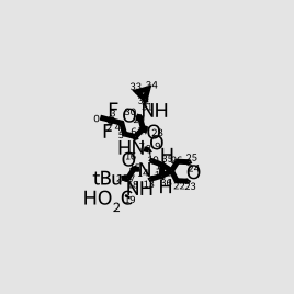 CC(F)(F)CCC(NC(=O)[C@@H]1[C@@H]2[C@H](CN1C(=O)C(NC(=O)O)C(C)(C)C)C21CCOCC1)C(=O)C(=O)NC1CC1